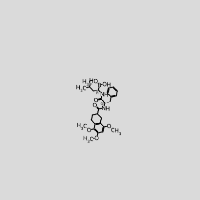 COc1cc(OC)c(OC)c2c1CC(C(=O)N[C@@H](Cc1ccccc1)C(=O)N[C@@H](CC(C)C)B(O)O)CC2